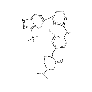 CN(C)C1CCN(c2ccc(Nc3nccc(-c4ccn5ncc(C(C)(C)C)c5c4)n3)c(F)c2)C(=O)C1